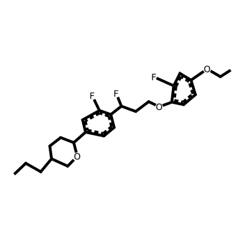 CCCC1CCC(c2ccc(C(F)CCOc3ccc(OCC)cc3F)c(F)c2)OC1